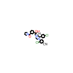 C[C@@](O)(CN1CCN(c2ccc(C#N)cc2Cl)C(c2ccc(Cl)cc2)C1)c1cccc(C(=O)N2CCCC2)c1